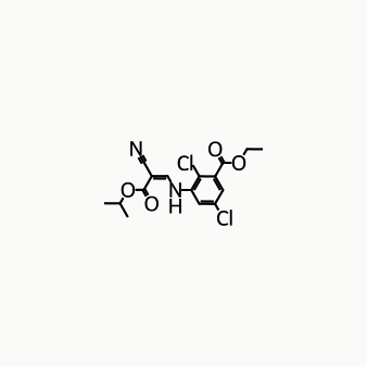 CCOC(=O)c1cc(Cl)cc(NC=C(C#N)C(=O)OC(C)C)c1Cl